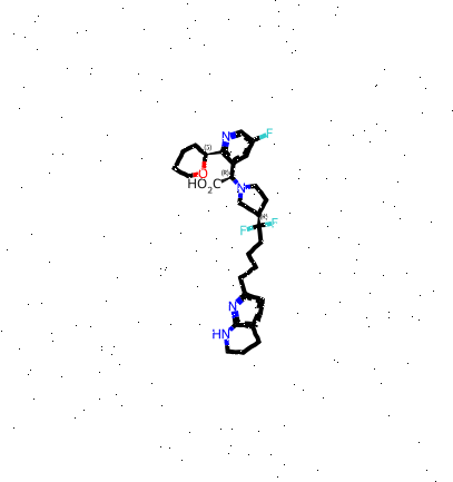 O=C(O)[C@@H](c1cc(F)cnc1[C@@H]1CCCCO1)N1CC[C@@H](C(F)(F)CCCCc2ccc3c(n2)NCCC3)C1